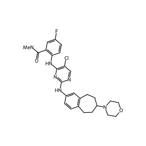 CNC(=O)c1cc(F)ccc1Nc1nc(Nc2ccc3c(c2)CCC(N2CCOCC2)CC3)ncc1Cl